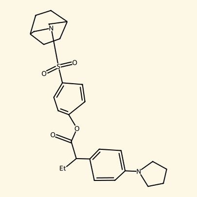 CCC(C(=O)Oc1ccc(S(=O)(=O)N2CC3CCC(CC3)C2)cc1)c1ccc(N2CCCC2)cc1